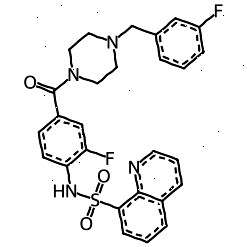 O=C(c1ccc(NS(=O)(=O)c2cccc3cccnc23)c(F)c1)N1CCN(Cc2cccc(F)c2)CC1